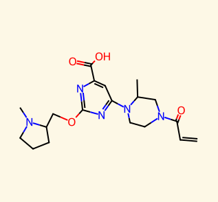 C=CC(=O)N1CCN(c2cc(C(=O)O)nc(OCC3CCCN3C)n2)C(C)C1